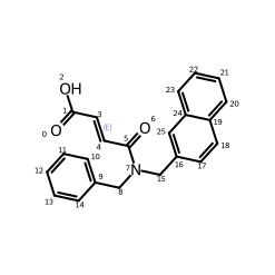 O=C(O)/C=C/C(=O)N(Cc1ccccc1)Cc1ccc2ccccc2c1